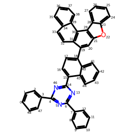 c1ccc(-c2nc(-c3ccccc3)nc(-c3ccc(-c4cc5oc6ccccc6c5c5c4ccc4ccccc45)c4ccccc34)n2)cc1